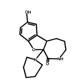 O=C1NCCCC2c3cc(O)ccc3OC12N1CCCCC1